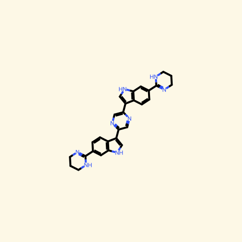 c1cc2c(-c3cnc(-c4c[nH]c5cc(C6=NCCCN6)ccc45)cn3)c[nH]c2cc1C1=NCCCN1